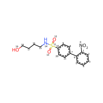 O=[N+]([O-])c1ccccc1-c1ccc(S(=O)(=O)NCCCCO)cc1